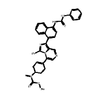 CC(C)c1nc(-c2ccc(NC(=O)Nc3ccccc3)c3ccccc23)c2cncc(C3=CCC(N(C)C(=O)OC(C)(C)C)CC3)n12